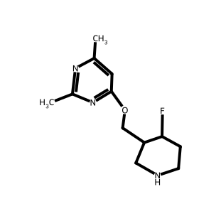 Cc1cc(OCC2CNCCC2F)nc(C)n1